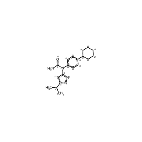 CC(C)c1cnc(N(C(N)=O)c2ccc(C3CCCCC3)cc2)s1